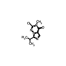 CC(C)c1ncc2c(=O)n(C)c(Cl)nn12